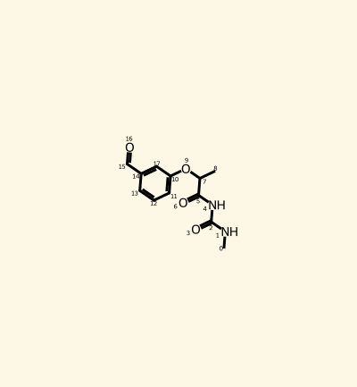 CNC(=O)NC(=O)C(C)Oc1cccc(C=O)c1